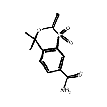 C=C1OC(C)(C)c2ccc(C(N)=O)cc2S1(=O)=O